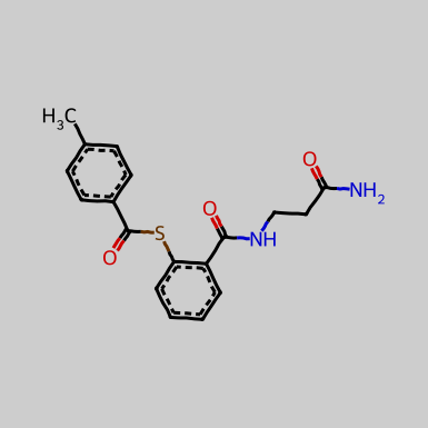 Cc1ccc(C(=O)Sc2ccccc2C(=O)NCCC(N)=O)cc1